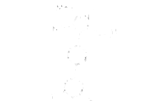 CSc1c(C#N)c(-c2ccc(-c3cc(F)cc(F)c3)cc2)c(C(=O)O)n1C